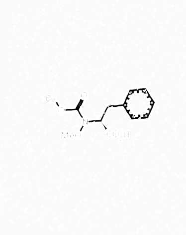 CON(C(=O)OC(C)(C)C)[C@@H](Cc1ccccc1)C(=O)O